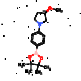 CO[C@@H]1CCN(c2ccc(B3OC(C)(C)C(C)(C)O3)cc2)C1